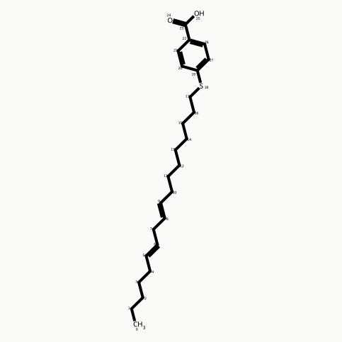 CCCCC/C=C/C/C=C/CCCCCCCCSc1ccc(C(=O)O)cc1